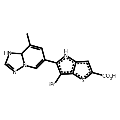 CC1=CC(c2[nH]c3cc(C(=O)O)sc3c2C(C)C)=CN2N=CNC12